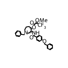 CO[C@H](C(=O)O[C@H]1CCCN(Cc2ccccc2)C[C@@H]1NC(=O)c1ccc(OCc2ccccc2)cc1)C(F)(F)F